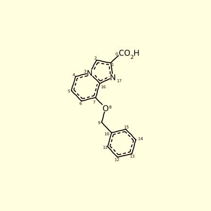 O=C(O)c1cn2cccc(OCc3ccccc3)c2n1